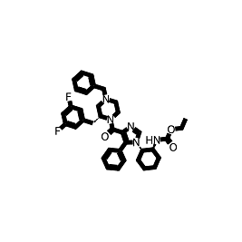 CCOC(=O)N[C@H]1CCCC[C@@H]1n1cnc(C(=O)N2CCN(Cc3ccccc3)C[C@H]2Cc2cc(F)cc(F)c2)c1-c1ccccc1